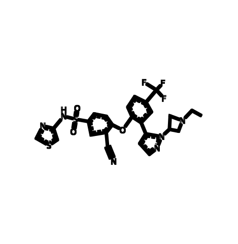 CCN1CC(n2nccc2-c2cc(C(F)(F)F)ccc2Oc2ccc(S(=O)(=O)Nc3cscn3)cc2C#N)C1